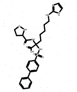 O=C(NC(CCCCCNc1ncc[nH]1)(NS(=O)(=O)c1ccc(-c2ccccc2)cc1)C(=O)O)C1CCON1